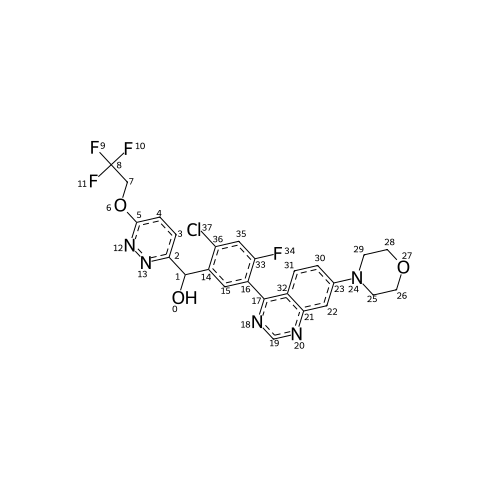 OC(c1ccc(OCC(F)(F)F)nn1)c1cc(-c2ncnc3cc(N4CCOCC4)ccc23)c(F)cc1Cl